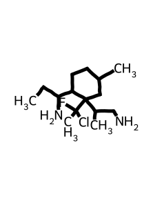 CCC(N)C1CCC(C)CC1(C(C)CN)C(C)(F)Cl